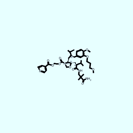 COCCCOc1cc(C[C@@H](C[C@H]2[C@H](C[C@H](C(=O)NCC(C)(C)C(N)=O)C(C)C)OCN2C(=O)OCOC(=O)c2ccncc2)C(C)C)ccc1OC